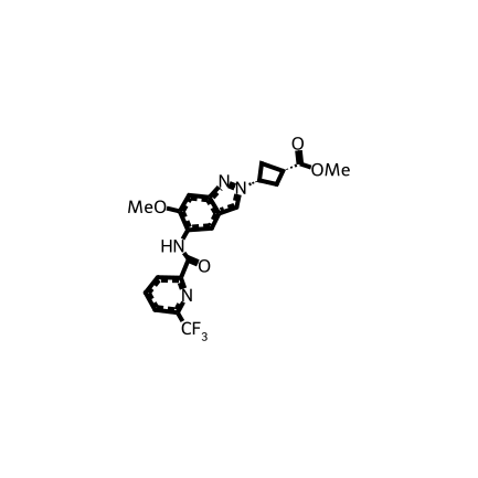 COc1cc2nn([C@H]3C[C@@H](C(=O)OC)C3)cc2cc1NC(=O)c1cccc(C(F)(F)F)n1